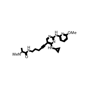 CN[C@@H](C)C(=O)NCCCC#Cc1cnc(Nc2cccc(OC)n2)nc1NC1CC1